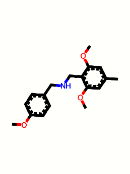 COc1ccc(CNCc2c(OC)cc(C)cc2OC)cc1